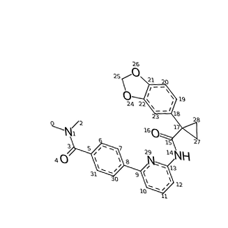 CN(C)C(=O)c1ccc(-c2cccc(NC(=O)C3(c4ccc5c(c4)OCO5)CC3)n2)cc1